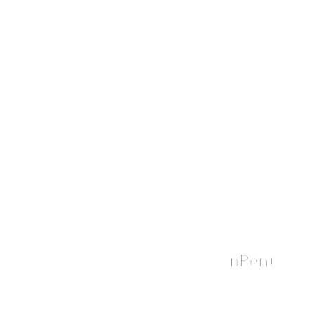 C=CC[C](C)CCCCCCCC